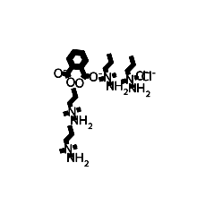 CCC[N+](C)(C)N.CCC[N+](C)(C)N.CCC[N+](C)(C)N.CCC[N+](C)(C)N.O=C([O-])c1ccccc1C(=O)[O-].[Cl-].[Cl-]